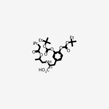 CCC(C)(C)OC(=O)Oc1ccc(C[C@H](NCC(C)OC(=O)CC(C)C)C(=O)O)cc1OC(=O)OC(C)(C)CC